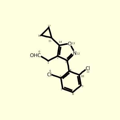 O=CCc1c(-c2c(Cl)cccc2Cl)noc1C1CC1